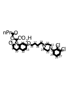 CCCC(=O)OC(C(=O)O)N1C(=O)CCc2ccc(OCCCCN3CCN(c4cccc(Cl)c4Cl)CC3)cc21